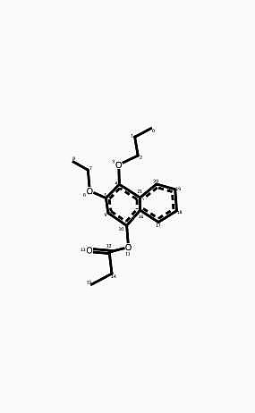 CCCOc1c(OCC)cc(OC(=O)CC)c2ccccc12